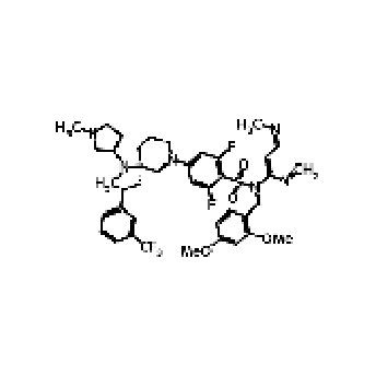 C=N/C(=C\C=N/C)N(Cc1ccc(OC)cc1OC)S(=O)(=O)c1c(F)cc(N2CCC[C@](CCc3cccc(C(F)(F)F)c3)(N(C)[C@@H]3CCN(C)C3)C2)cc1F